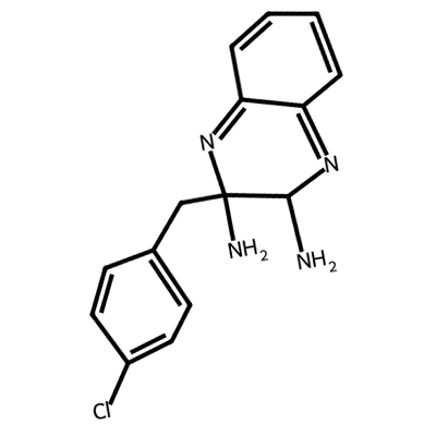 NC1N=c2ccccc2=NC1(N)Cc1ccc(Cl)cc1